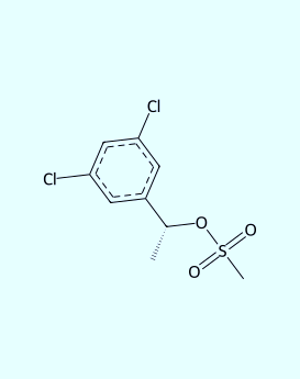 C[C@@H](OS(C)(=O)=O)c1cc(Cl)cc(Cl)c1